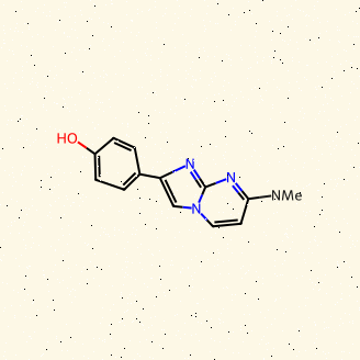 CNc1ccn2cc(-c3ccc(O)cc3)nc2n1